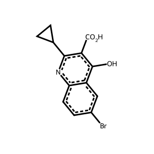 O=C(O)c1c(C2CC2)nc2ccc(Br)cc2c1O